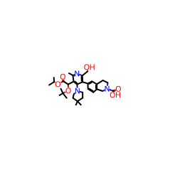 Cc1nc(CO)c(-c2ccc3c(c2)CCN(C(=O)O)C3)c(N2CCC(C)(C)CC2)c1C(OC(C)(C)C)C(=O)OC(C)C